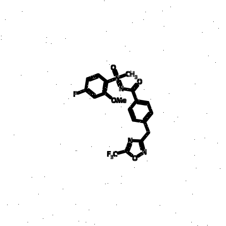 COc1cc(F)ccc1S(C)(=O)=NC(=O)c1ccc(Cc2noc(C(F)(F)F)n2)cc1